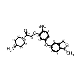 [C-]#[N+]c1ccc(Oc2ccc3c(c2)COB3C)cc1OCC(=O)N1CCC(N)CC1